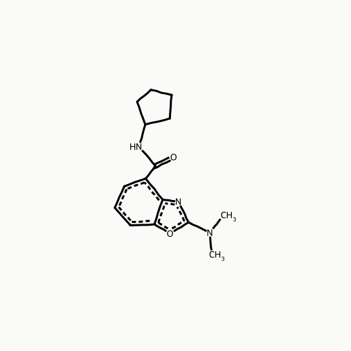 CN(C)c1nc2c(C(=O)NC3CCCC3)cccc2o1